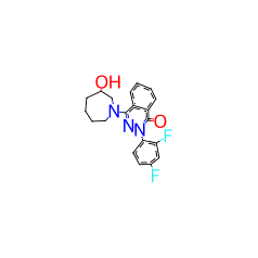 O=c1c2ccccc2c(N2CCCCC(O)C2)nn1-c1ccc(F)cc1F